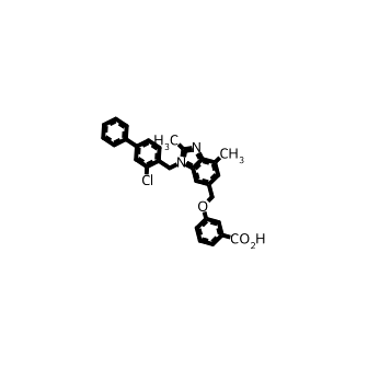 Cc1cc(COc2cccc(C(=O)O)c2)cc2c1nc(C)n2Cc1ccc(-c2ccccc2)cc1Cl